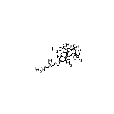 CC(C)CCC[C@@H](C)[C@H]1CCC[C@]1(C)CC[C@H]1[C@H](C)CC[C@H]2C[C@@H](OCCNCCN)CC[C@@]21C